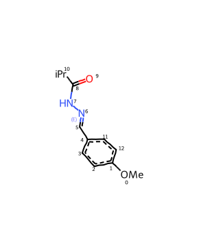 COc1ccc(/C=N/NC(=O)C(C)C)cc1